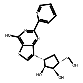 OC[C@H]1C[C@@H](c2csc3c(O)nc(-c4ccccn4)nc23)[C@H](O)[C@@H]1O